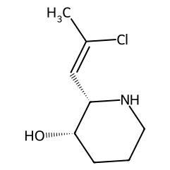 CC(Cl)=C[C@@H]1NCCC[C@@H]1O